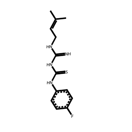 CC(C)=CCNC(=N)NC(=S)Nc1ccc(F)cc1